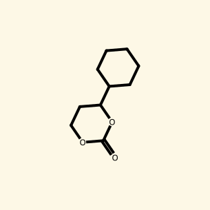 O=C1OCCC(C2CCCCC2)O1